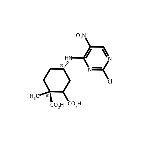 C[C@]1(C(=O)O)CC[C@H](Nc2nc(Cl)ncc2[N+](=O)[O-])CC1C(=O)O